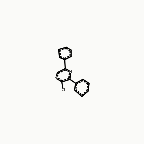 Clc1ncc(-c2ccccc2)nc1-c1ccccc1